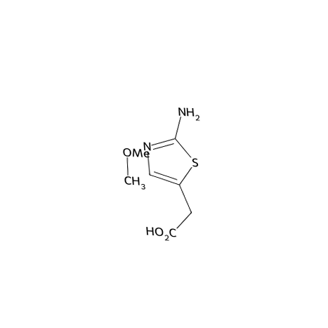 COC.Nc1ncc(CC(=O)O)s1